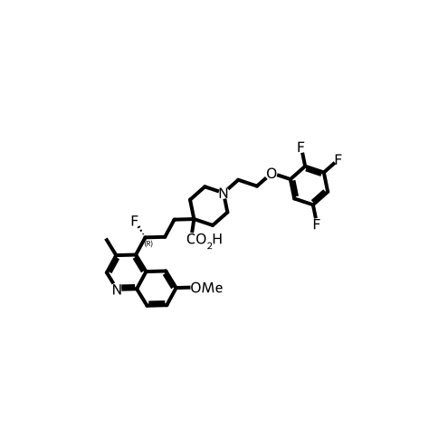 COc1ccc2ncc(C)c([C@H](F)CCC3(C(=O)O)CCN(CCOc4cc(F)cc(F)c4F)CC3)c2c1